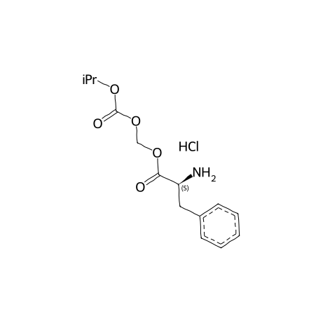 CC(C)OC(=O)OCOC(=O)[C@@H](N)Cc1ccccc1.Cl